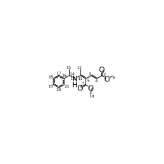 COC(=O)C=CC(C(=O)OC)=C(C)NC(C)c1ccccc1